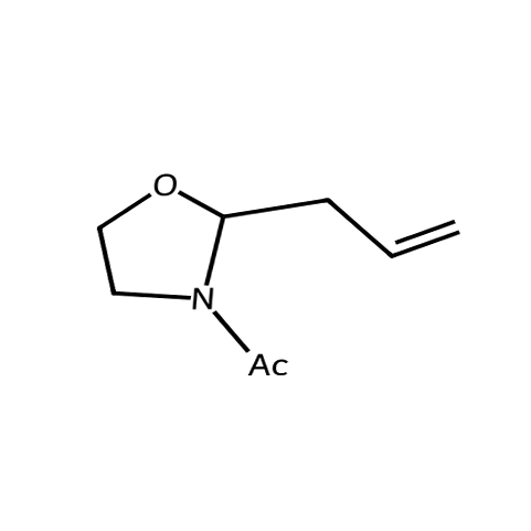 C=CCC1OCCN1C(C)=O